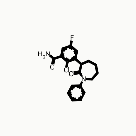 NC(=O)c1cc(F)cc(C2CCCCN(c3ccccc3)C2=O)c1Cl